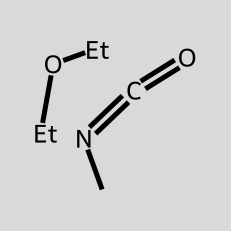 CCOCC.CN=C=O